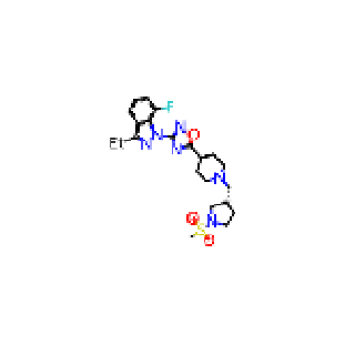 CCc1nn(-c2noc(C3CCN(C[C@@H]4CCN(S(C)(=O)=O)C4)CC3)n2)c2c(F)cccc12